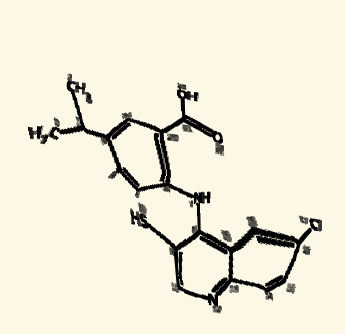 CC(C)c1ccc(Nc2c(S)cnc3ccc(Cl)cc23)c(C(=O)O)c1